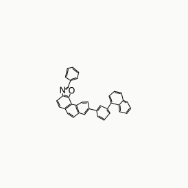 c1ccc(-c2nc3ccc4ccc5cc(-c6cccc(-c7cccc8ccccc78)c6)ccc5c4c3o2)cc1